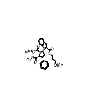 COCCCOC(=O)c1cc2ccccc2n1C1C[C@H](c2ccccc2)[C@@H](C(N)=O)N1C(=O)OC(C)(C)C